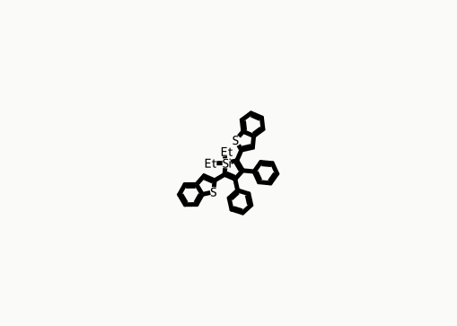 CC[Si]1(CC)C(c2cc3ccccc3s2)=C(c2ccccc2)C(c2ccccc2)=C1c1cc2ccccc2s1